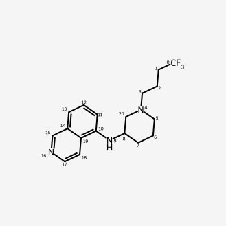 FC(F)(F)CCCN1CCCC(Nc2cccc3cnccc23)C1